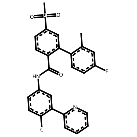 Cc1cc(F)ccc1-c1cc(S(C)(=O)=O)ccc1C(=O)Nc1ccc(Cl)c(-c2ccccn2)c1